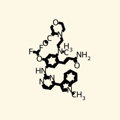 CN(CCN1CCOCC1=C=O)c1cc(OC(F)F)c(Nc2nccc(-c3cn(C)c4ccccc34)n2)cc1C=CC(N)=O